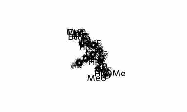 CCN(CC)C(=O)N[C@H](C(=O)N1CCC[C@H]1c1nc2cc(F)c([C@H]3CC[C@H](c4cc5[nH]c([C@@H]6CCCN6C(=O)C(NC(=O)OC)[C@@H](C)OC)nc5cc4F)N3c3cc(F)c(N4CCC(c5ccc(F)cc5)CC4)c(F)c3)cc2[nH]1)[C@@H](C)OC